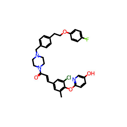 Cc1cc(/C=C/C(=O)N2CCN(Cc3ccc(CCOc4ccc(F)cc4)cc3)CC2)cc(Cl)c1Oc1ccc(O)cn1